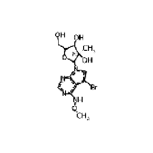 CONc1ncnc2c1c(Br)cn2C1OC(CO)C(O)[C@@]1(C)O